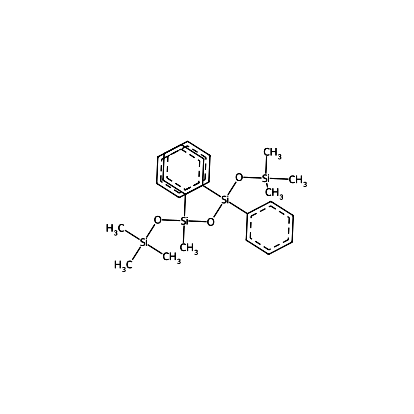 C[Si](C)(C)O[Si](C)(O[Si](O[Si](C)(C)C)(c1ccccc1)c1ccccc1)c1ccccc1